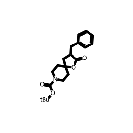 CC(C)(C)OC(=O)N1CCC2(CC1)CC(Cc1ccccc1)C(=O)O2